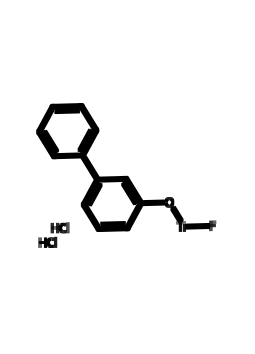 Cl.Cl.[F][Ti][O]c1cccc(-c2ccccc2)c1